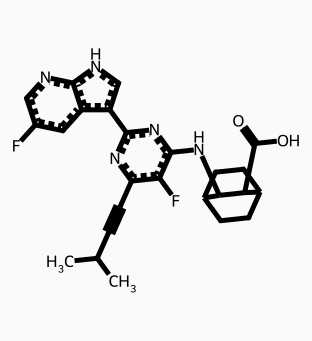 CC(C)C#Cc1nc(-c2c[nH]c3ncc(F)cc23)nc(NC2C3CCC(CC3)C2C(=O)O)c1F